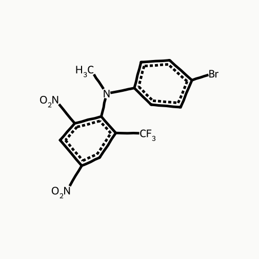 CN(c1ccc(Br)cc1)c1c([N+](=O)[O-])cc([N+](=O)[O-])cc1C(F)(F)F